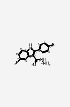 NNC(=O)c1c(-c2ccc(Br)cc2)[nH]c2ccc(F)cc12